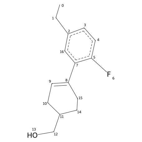 CCc1ccc(F)c(C2=CCC(CO)CC2)c1